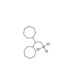 Cl[Si](Cl)(Cl)CC(C1CCCCCC1)C1CCCCCC1